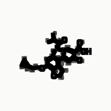 CC(C)C(=O)N1Cc2cc(OCCC3CC3)c3c(c2-c2cc(=O)c(C(=O)O)cn21)CCO3